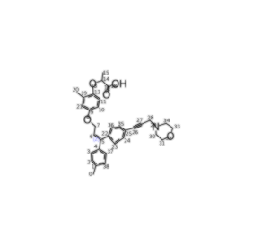 Cc1ccc(/C(=C/COc2ccc(OC(C)C(=O)O)c(C)c2)c2ccc(C#CCN3CCOCC3)cc2)cc1